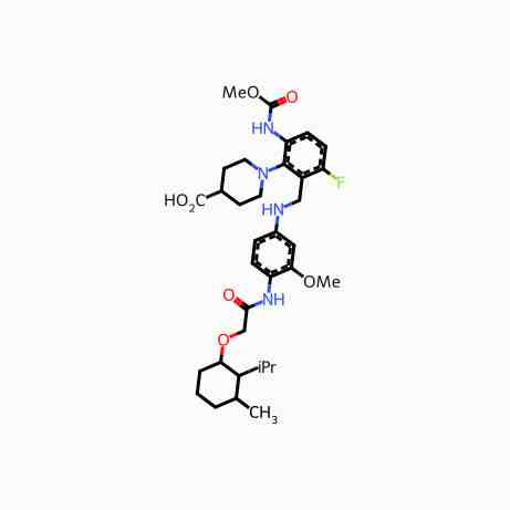 COC(=O)Nc1ccc(F)c(CNc2ccc(NC(=O)COC3CCCC(C)C3C(C)C)c(OC)c2)c1N1CCC(C(=O)O)CC1